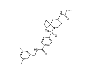 C=CC(=O)NC1CCN(S(=O)(=O)c2ccc(C(=O)NCc3cc(C)cc(C)c3)cc2)C2(CCC2)C1